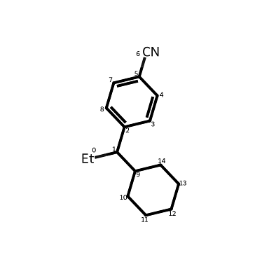 CCC(c1ccc(C#N)cc1)C1CCCCC1